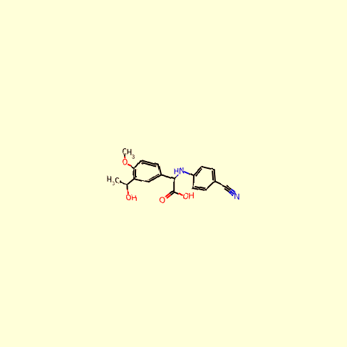 COc1ccc(C(Nc2ccc(C#N)cc2)C(=O)O)cc1[C@H](C)O